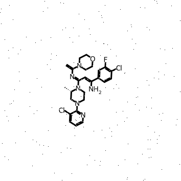 C=C(/N=C(\C=C(/N)c1ccc(Cl)c(F)c1)N1CCN(c2ncccc2Cl)C[C@@H]1C)N1CCOCC1